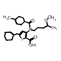 COC(C)CCCN(C(=O)C1CCC(C)CC1)c1cc(C2CCCCC2)sc1C(=O)O